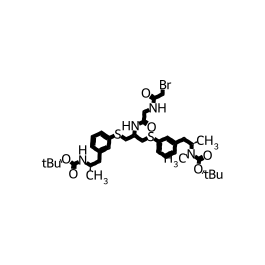 C[C@@H](Cc1cccc(SCC(CSc2cccc(C[C@H](C)N(C)C(=O)OC(C)(C)C)c2)NC(=O)CNC(=O)CBr)c1)NC(=O)OC(C)(C)C